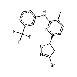 Cc1ccc([C@H]2CC(Br)=NO2)nc1Nc1cccc(C(F)(F)F)c1